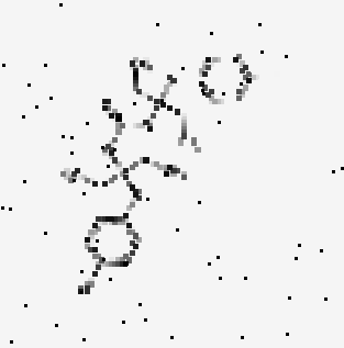 CCC(CC)(O[PH](=O)OC(CC)(CC)Sc1ccc(Cl)cc1)Sc1ccc(Cl)cc1